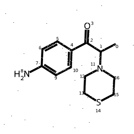 CC(C(=O)c1ccc(N)cc1)N1CCSCC1